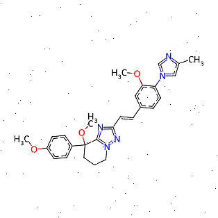 COc1ccc(C2(OC)CCCn3nc(/C=C/c4ccc(-n5cnc(C)c5)c(OC)c4)nc32)cc1